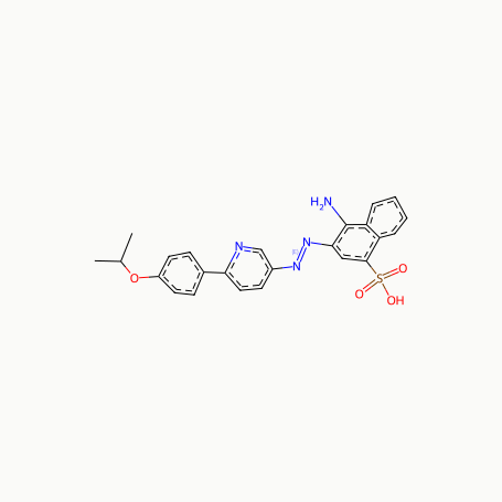 CC(C)Oc1ccc(-c2ccc(/N=N/c3cc(S(=O)(=O)O)c4ccccc4c3N)cn2)cc1